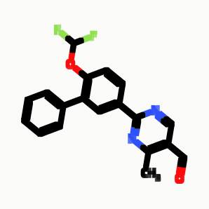 Cc1nc(-c2ccc(OC(F)F)c(-c3ccccc3)c2)ncc1C=O